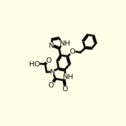 O=C(O)Cn1c(=O)c(=O)[nH]c2cc(OCc3ccccc3)c(-c3ncc[nH]3)cc21